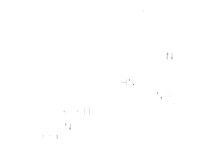 CC(C)(C)N(Cc1ccc(CNc2c([N+](=O)[O-])cnc3cc(Br)ccc23)cc1)C(=O)O